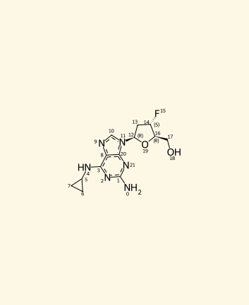 Nc1nc(NC2CC2)c2ncn([C@H]3C[C@H](F)[C@@H](CO)O3)c2n1